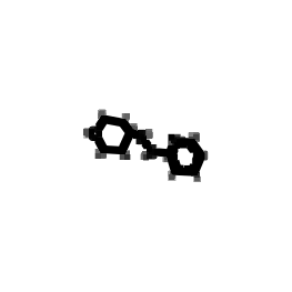 c1ccc(SSC2CCOCC2)nc1